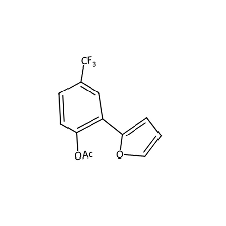 CC(=O)Oc1ccc(C(F)(F)F)cc1-c1ccco1